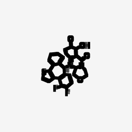 O=C1c2c(O)c(=O)ccn2N([C@@H]2c3ccccc3-c3sccc3-c3c2ccc(F)c3F)C2COCCN12